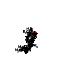 COC(=O)NC(C(=O)N1CCC[C@H]1c1ncc(-c2ccc3c(c2)cc2n3C(c3cnc(C4CC4)s3)Oc3cc(-c4cnc([C@@H]5CCCN5C(=O)[C@@H](NC(=O)OC)C(C)C)[nH]4)cc(C)c3-2)[nH]1)C1C[C@@H](C)O[C@@H](C)C1